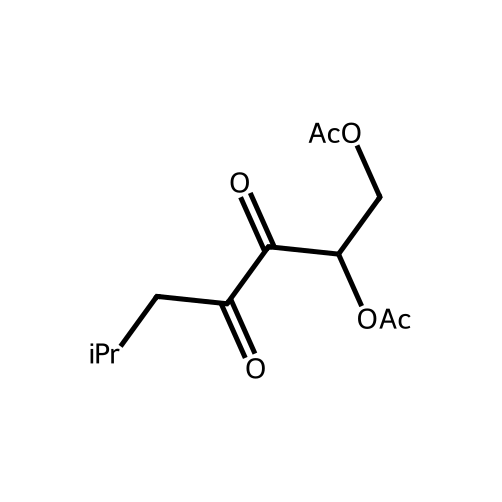 CC(=O)OCC(OC(C)=O)C(=O)C(=O)CC(C)C